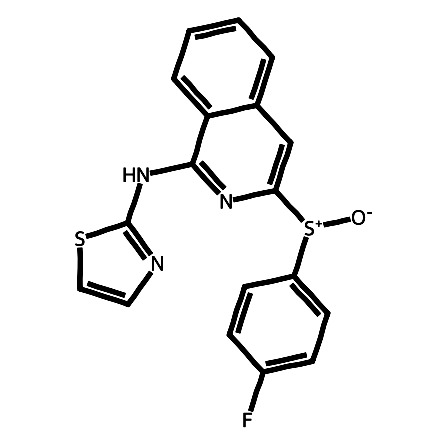 [O-][S+](c1ccc(F)cc1)c1cc2ccccc2c(Nc2nccs2)n1